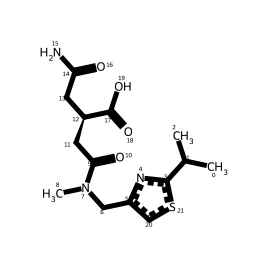 CC(C)c1nc(CN(C)C(=O)C[C@@H](CC(N)=O)C(=O)O)cs1